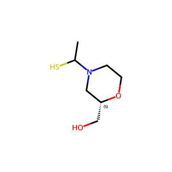 CC(S)N1CCO[C@H](CO)C1